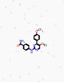 CCOc1cnc(Nc2ccc(C(N)=O)cc2)nc1-c1ccc(OC(F)(F)F)cc1